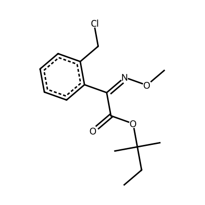 CCC(C)(C)OC(=O)C(=NOC)c1ccccc1CCl